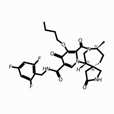 CCCCOc1c2n(cc(C(=O)NCc3c(F)cc(F)cc3F)c1=O)[C@@H]1CN(C2=O)[C@@H](C)CC[C@@]12CNC(=O)C2